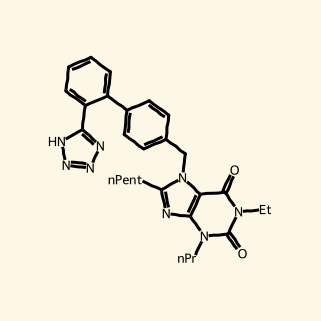 CCCCCc1nc2c(c(=O)n(CC)c(=O)n2CCC)n1Cc1ccc(-c2ccccc2-c2nnn[nH]2)cc1